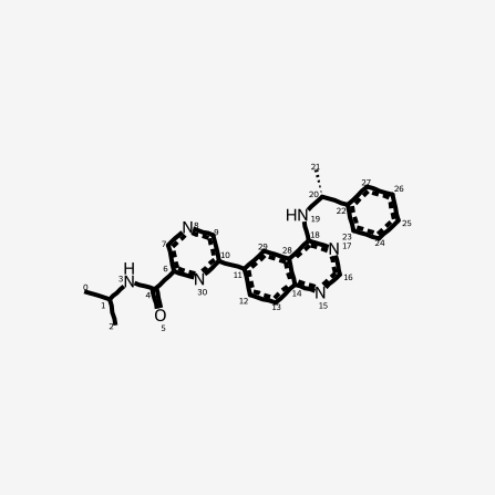 CC(C)NC(=O)c1cncc(-c2ccc3ncnc(N[C@H](C)c4ccccc4)c3c2)n1